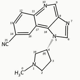 CN1CC[C@@H](n2cnc3cnc4ccc(C#N)cc4c32)C1